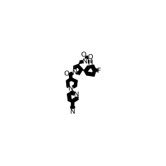 N#Cc1ccc(N2CCC(C(=O)N3C[C@@H](CNC(=O)O)[C@@H](c4ccc(F)cc4)C3)CC2)nc1